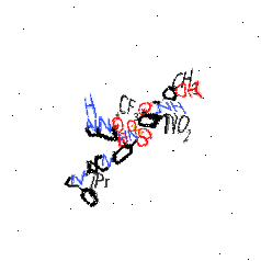 CC(C)c1ccccc1[C@H]1CCCN1C1CC2(CCN(c3ccc(C(=O)NS(=O)(=O)c4cc5c(c([N+](=O)[O-])c4)N[C@@H](C4CCC(C)(O)CC4)CO5)c(Oc4cc5cc[nH]c5nc4OCC(F)(F)F)c3)CC2)C1